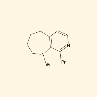 CC(C)c1nccc2c1N(C(C)C)CCCC2